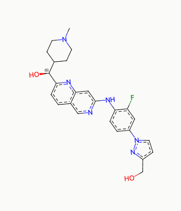 CN1CCC([C@H](O)c2ccc3cnc(Nc4ccc(-n5ccc(CO)n5)cc4F)cc3n2)CC1